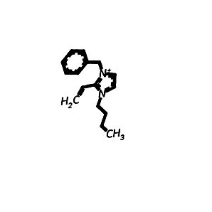 C=Cc1n(CCCC)cc[n+]1Cc1ccccc1